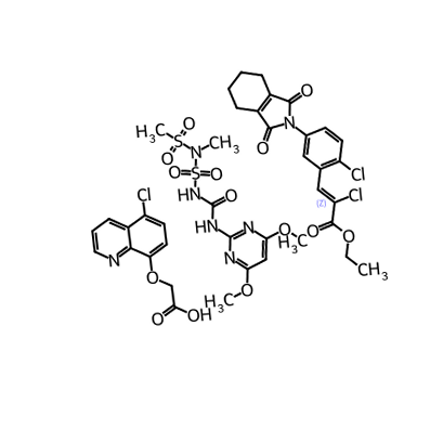 CCOC(=O)/C(Cl)=C/c1cc(N2C(=O)C3=C(CCCC3)C2=O)ccc1Cl.COc1cc(OC)nc(NC(=O)NS(=O)(=O)N(C)S(C)(=O)=O)n1.O=C(O)COc1ccc(Cl)c2cccnc12